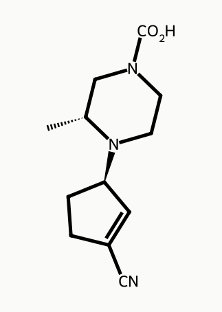 C[C@@H]1CN(C(=O)O)CCN1[C@H]1C=C(C#N)CC1